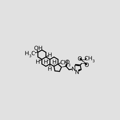 C[C@@]1(O)CC[C@H]2[C@H](CC[C@@H]3[C@@H]2CC[C@]2(C)[C@@H](C(=O)Cn4cc(S(C)(=O)=O)cn4)CC[C@@H]32)C1